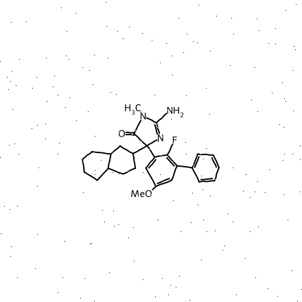 COc1cc(-c2ccccc2)c(F)c(C2(C3CCC4CCCCC4C3)N=C(N)N(C)C2=O)c1